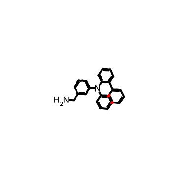 NCc1cccc(N(c2ccccc2)c2ccccc2-c2ccccc2)c1